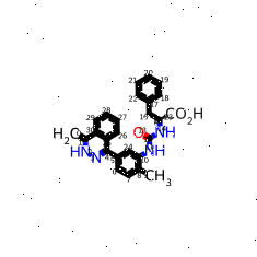 C=C1NN=C(c2ccc(C)c(NC(=O)N[C@@H](Cc3ccccc3)C(=O)O)c2)c2ccccc21